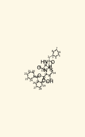 O=C(Cc1ccccc1)NC1C(=O)N2C(C(=O)OC(c3ccccc3)c3ccccc3)C(CO)=CS[C@@H]12